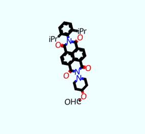 CC(C)c1cccc(C(C)C)c1N1C(=O)c2ccc3c4c(ccc(c24)C1=O)C(=O)N(N1CCC(OC=O)CC1)C3=O